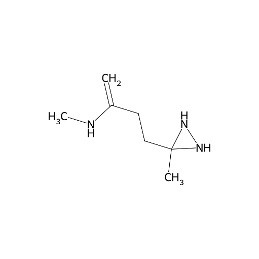 C=C(CCC1(C)NN1)NC